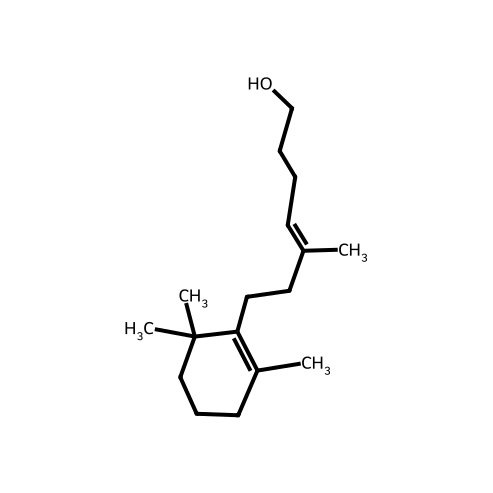 CC(=CCCCO)CCC1=C(C)CCCC1(C)C